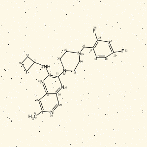 Cc1cc2nc(NC3CCC3)c(N3CCN(Cc4ccc(F)cc4F)CC3)nc2cn1